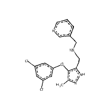 Cc1n[nH]c(CNCc2cccnc2)c1Oc1cc(Cl)cc(Cl)c1